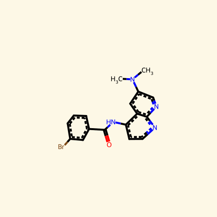 CN(C)c1cnc2nccc(NC(=O)c3cccc(Br)c3)c2c1